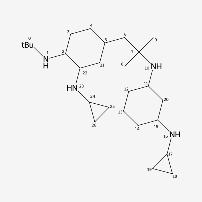 CC(C)(C)NC1CCC(CC(C)(C)NC2CCCC(NC3CC3)C2)CC1NC1CC1